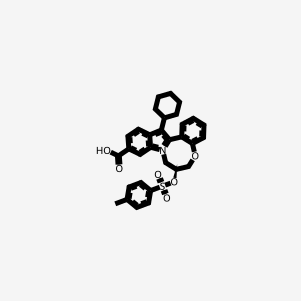 Cc1ccc(S(=O)(=O)O[C@@H]2COc3ccccc3-c3c(C4CCCCC4)c4ccc(C(=O)O)cc4n3C2)cc1